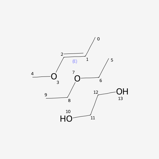 C/C=C/OC.CCOCC.OCCO